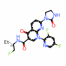 CC[C@@H](CF)NC(=O)c1cn(-c2ncc(F)cc2F)c2nc(N3CCNC3=O)ccc2c1=O